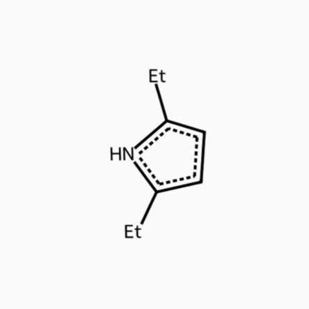 CCc1ccc(CC)[nH]1